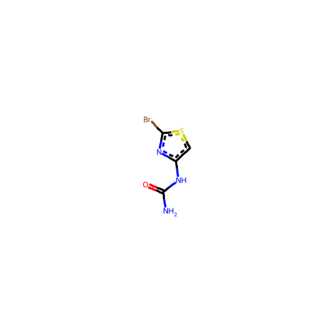 NC(=O)Nc1csc(Br)n1